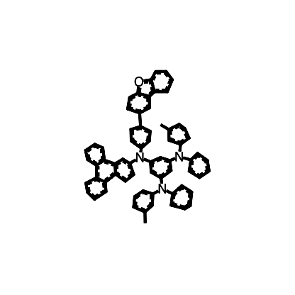 Cc1cccc(N(c2ccccc2)c2cc(N(c3ccccc3)c3cccc(C)c3)cc(N(c3ccc(-c4ccc5oc6ccccc6c5c4)cc3)c3ccc4c5ccccc5c5ccccc5c4c3)c2)c1